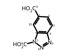 O=C(O)c1ccc2nnn(C(=O)O)c2c1